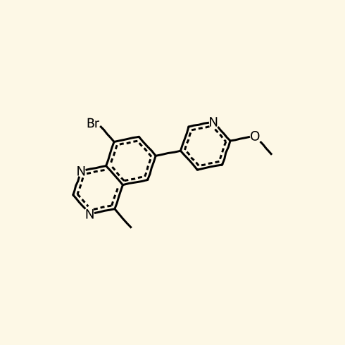 COc1ccc(-c2cc(Br)c3ncnc(C)c3c2)cn1